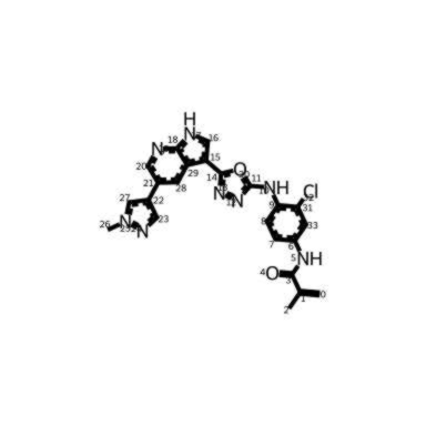 C=C(C)C(=O)Nc1ccc(Nc2nnc(-c3c[nH]c4ncc(-c5cnn(C)c5)cc34)o2)c(Cl)c1